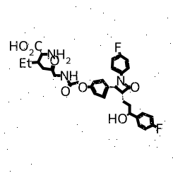 CCC(CC(=O)CNC(=O)COc1ccc([C@@H]2[C@@H](CC[C@H](O)c3ccc(F)cc3)C(=O)N2c2ccc(F)cc2)cc1)[C@@H](N)C(=O)O